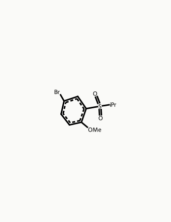 COc1ccc(Br)cc1S(=O)(=O)C(C)C